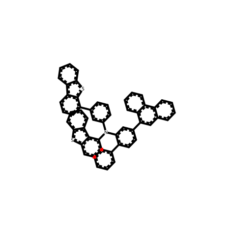 c1ccc(-c2ccc(-c3cc4ccccc4c4ccccc34)cc2N(c2cccc(-c3cccc4c3sc3ccccc34)c2)c2cccc3sc4ccccc4c23)cc1